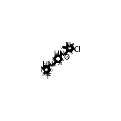 Cc1ncc(Cl)cc1C(=O)NC1CCC(CNc2cncc(F)c2)CC1